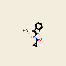 O=C(O)c1c(NC(=O)C2CC2)sc2ccccc12